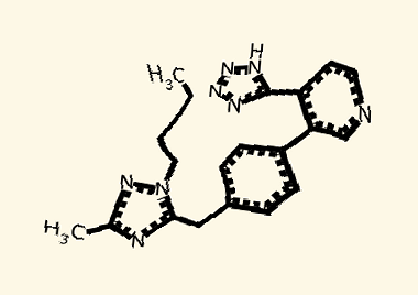 CCCCn1nc(C)nc1Cc1ccc(-c2cnccc2-c2nnn[nH]2)cc1